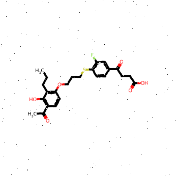 CCCc1c(OCCCSc2ccc(C(=O)CCC(=O)O)cc2F)ccc(C(C)=O)c1O